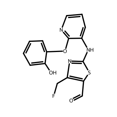 O=Cc1sc(Nc2cccnc2Oc2ccccc2O)nc1CF